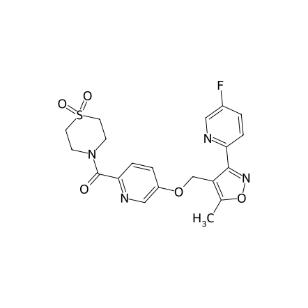 Cc1onc(-c2ccc(F)cn2)c1COc1ccc(C(=O)N2CCS(=O)(=O)CC2)nc1